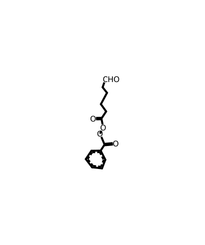 O=CCCCCC(=O)OOC(=O)c1ccccc1